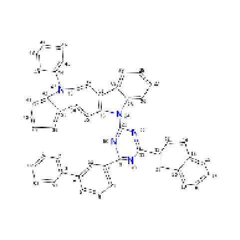 c1ccc(-c2cccc(-c3nc(-c4ccc5ccccc5c4)nc(-n4c5ccccc5c5cc6c(cc54)c4ccccc4n6-c4ccccc4)n3)c2)cc1